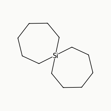 C1CCC[Si]2(CC1)CCCCCC2